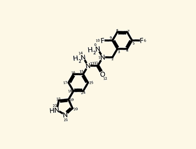 NN(Cc1cc(F)ccc1F)C(=O)N(N)c1ccc(-c2cn[nH]c2)cc1